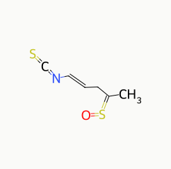 CC(CC=CN=C=S)=S=O